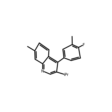 Cc1ccc2c(-c3ccc(F)c(C)c3)c(C(C)C)cnc2c1